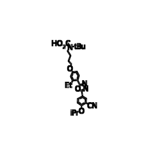 CCc1cc(OCCCCN(C(=O)O)C(C)(C)C)ccc1-c1nnc(-c2ccc(OC(C)C)c(C#N)c2)o1